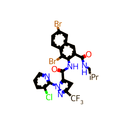 CC(C)CNC(=O)c1cc2cc(Br)ccc2c(Br)c1NC(=O)c1cc(C(F)(F)F)nn1-c1ncccc1Cl